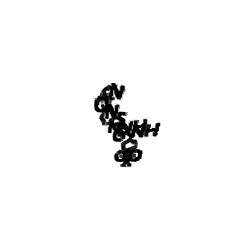 CN1CC[C@@H](Oc2ccc3nc(NC(=O)C(=N)c4ccc(S(=O)(=O)C5CC5)cc4)sc3n2)C1